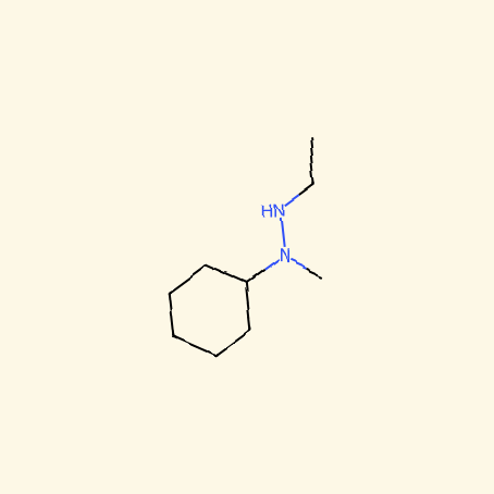 CCNN(C)C1CCCCC1